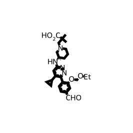 CCOCOc1cc(C=O)ccc1-c1nnc(N[C@@H]2CCCN(CC(C)(C)C(=O)O)C2)cc1C1CC1